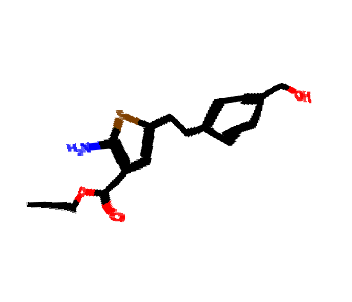 CCOC(=O)c1cc(CCc2ccc(CO)cc2)sc1N